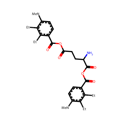 CCc1c(NC)ccc(C(=O)OC(=O)CCC(N)C(=O)OC(=O)c2ccc(NC)c(CC)c2CC)c1CC